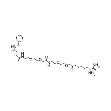 C=C(CCC(C)NCC1CCCCC1)NCCOCCOCC(=O)NCCOCCOCC(=O)CCCCCC(N)C(=C)N